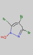 On1nc(Br)c(Br)c1Br